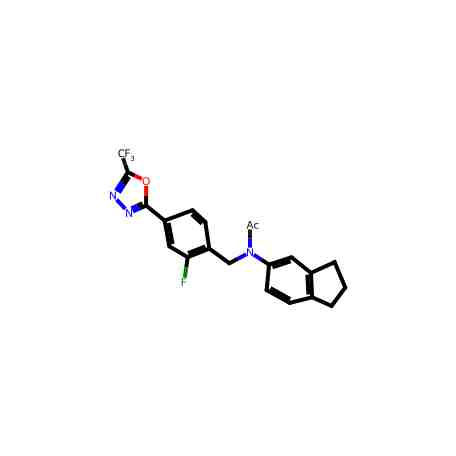 CC(=O)N(Cc1ccc(-c2nnc(C(F)(F)F)o2)cc1F)c1ccc2c(c1)CCC2